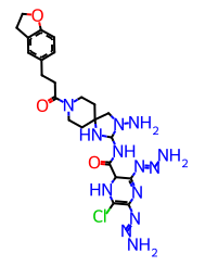 NN=NC1=NC(N=NN)=C(Cl)NC1C(=O)NC1NC2(CCN(C(=O)CCc3ccc4c(c3)CCO4)CC2)CN1N